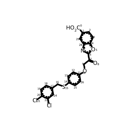 O=C(O)c1ccc2oc(C(=O)COc3ccc(SCc4ccc(Cl)c(Cl)c4)cc3)nc2c1